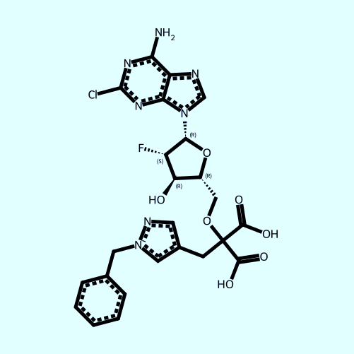 Nc1nc(Cl)nc2c1ncn2[C@@H]1O[C@H](COC(Cc2cnn(Cc3ccccc3)c2)(C(=O)O)C(=O)O)[C@@H](O)[C@@H]1F